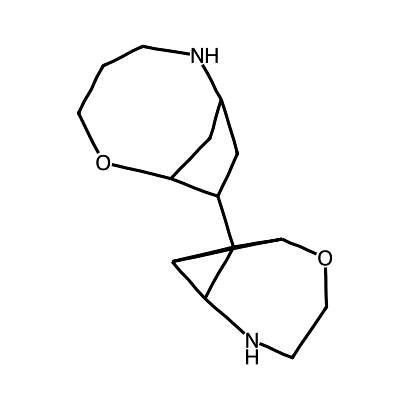 C1CNC2CC(OC1)C(C13C4NCCOC1C43)C2